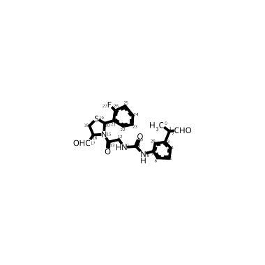 CC(C=O)c1cccc(NC(=O)NCC(=O)N2C(C=O)CSC2c2ccccc2F)c1